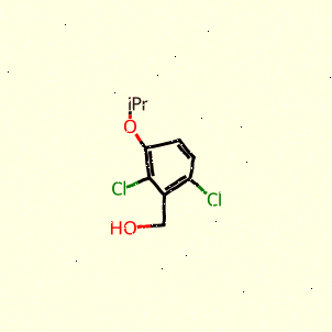 CC(C)Oc1ccc(Cl)c(CO)c1Cl